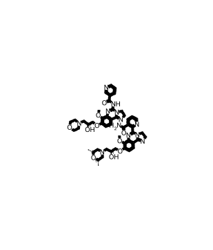 COc1c(OC[C@@H](O)CN2CCOCC2)ccc2c1N=C(NC(=O)c1cccnc1)N1CCN=C21.COc1c(OC[C@H](O)CN2C[C@@H](C)O[C@@H](C)C2)ccc2c1N=C(c1ncccc1C(N)=O)N1CCN=C21